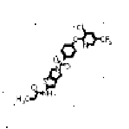 C=CC(=O)Nc1cc2c(s1)CN(S(=O)(=O)c1ccc(Oc3ncc(C(F)(F)F)cc3Cl)cc1)C2